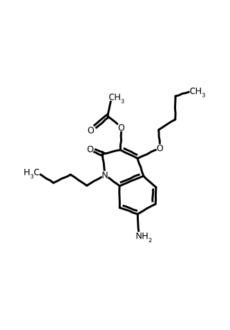 CCCCOc1c(OC(C)=O)c(=O)n(CCCC)c2cc(N)ccc12